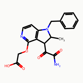 CC1C(C(=O)C(N)=O)c2c(ccnc2OCC(=O)O)N1Cc1ccccc1